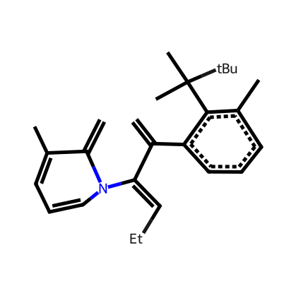 C=C(/C(=C/CC)N1C=CC=C(C)C1=C)c1cccc(C)c1C(C)(C)C(C)(C)C